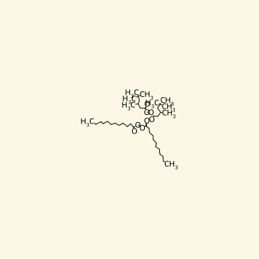 CC(CC(=O)OOC(=O)CC(C)CC(C)(C)C)CC(C)(C)C.CCCCCCCCCCCC(=O)OOC(=O)CCCCCCCCCCC